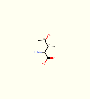 C[C@H](O)[C@H](C)C(N)C(=O)O